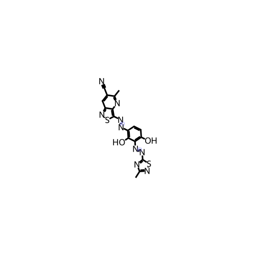 Cc1nsc(/N=N/c2c(O)ccc(/N=N/c3snc4cc(C#N)c(C)nc34)c2O)n1